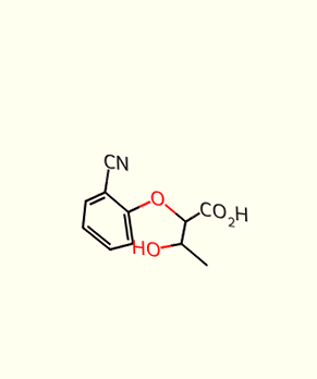 CC(O)C(Oc1ccccc1C#N)C(=O)O